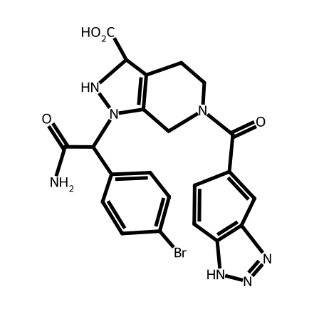 NC(=O)C(c1ccc(Br)cc1)N1NC(C(=O)O)C2=C1CN(C(=O)c1ccc3[nH]nnc3c1)CC2